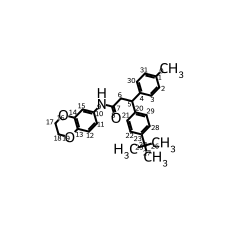 Cc1ccc(C(CC(=O)Nc2ccc3c(c2)OCCO3)c2ccc(C(C)(C)C)cc2)cc1